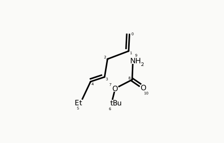 C=CCC=CCC.CC(C)(C)OC(N)=O